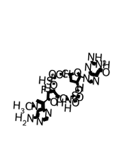 Cn1cc([C@@H]2O[C@@H]3CNS(=O)(=O)O[C@@H]4C[C@@H](CO[P@](=O)(S)O[C@H]3[C@H]2F)O[C@H]4n2cnc3c(=O)[nH]c(N)nc32)c2ncnc(N)c21